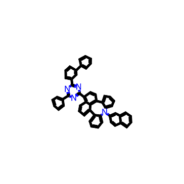 c1ccc(-c2cccc(-c3nc(-c4ccccc4)nc(-c4ccc5c6c(cccc46)-c4ccccc4N(c4ccc6ccccc6c4)c4ccccc4-5)n3)c2)cc1